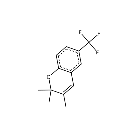 CC1=Cc2cc(C(F)(F)F)ccc2OC1(C)C